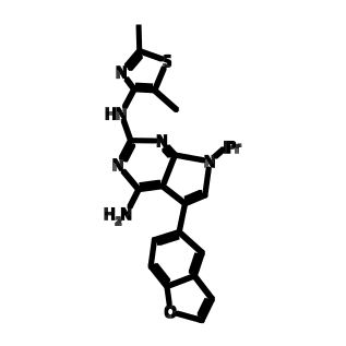 Cc1nc(Nc2nc(N)c3c(-c4ccc5occc5c4)cn(C(C)C)c3n2)c(C)s1